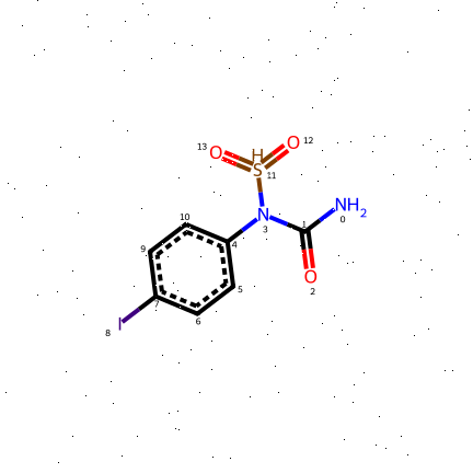 NC(=O)N(c1ccc(I)cc1)[SH](=O)=O